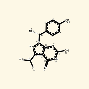 CC(C)(C)[C@H](c1ccc(C(F)(F)F)cc1)n1nc(C(F)F)c2c(=O)[nH]c(O)nc21